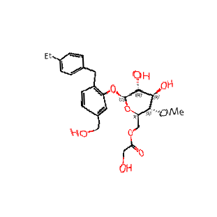 CCc1ccc(Cc2ccc(CO)cc2O[C@@H]2O[C@H](COC(=O)CO)[C@@H](OC)[C@H](O)[C@H]2O)cc1